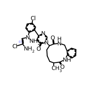 CC1CCCC(n2cnc(-c3cc(Cl)ccc3N(N)/C=C(\N)Cl)cc2=O)C(=O)NCc2ccccc2NC1=O